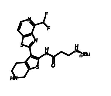 CC[C@H](C)NCCC(=O)Nc1sc2c(c1-c1nc3c(C(F)F)nccc3s1)CCNC2